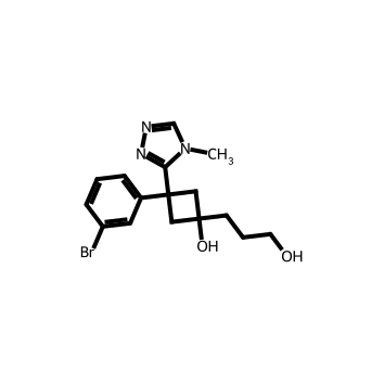 Cn1cnnc1C1(c2cccc(Br)c2)CC(O)(CCCO)C1